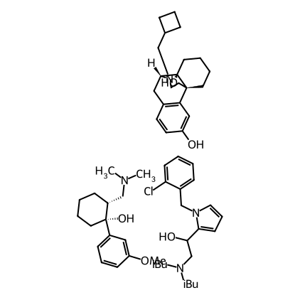 CCC(C)N(CC(O)c1cccn1Cc1ccccc1Cl)C(C)CC.COc1cccc([C@@]2(O)CCCC[C@@H]2CN(C)C)c1.Oc1ccc2c(c1)[C@@]13CCCC[C@@]1(O)[C@@H](C2)N(CC1CCC1)CC3